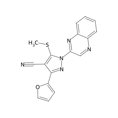 CSc1c(C#N)c(-c2ccco2)nn1-c1cnc2ccccc2n1